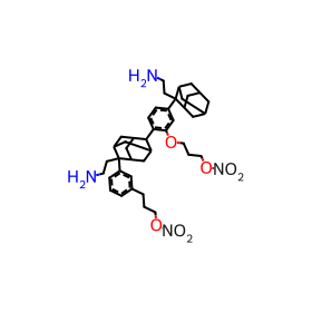 NCCC1(c2ccc(C3C4CC5CC3CC(C4)C5(CCN)c3cccc(CCCO[N+](=O)[O-])c3)c(OCCCO[N+](=O)[O-])c2)C2CC3CC(C2)CC1C3